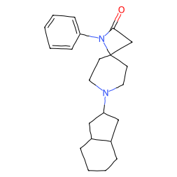 O=C1CC2(CCN(C3CC4CCCCC4C3)CC2)N1c1ccccc1